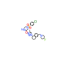 O=C1NCCN(S(=O)(=O)c2ccc(Cl)cc2)[C@@H]1Cc1cn([C@@H]2CCCc3cc(CN4CCC(F)CC4)ccc32)nn1